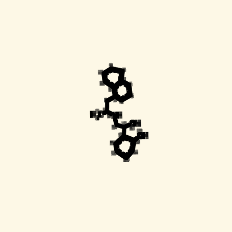 CC(Cc1cccc2ccccc12)NCC(O)c1ccccc1O